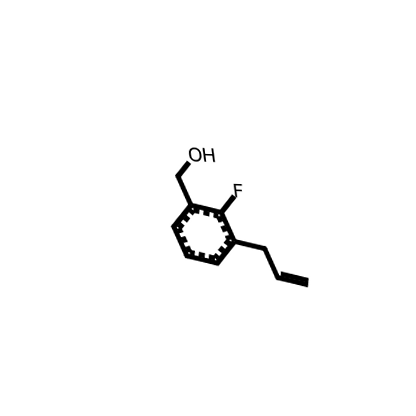 C=CCc1cccc(CO)c1F